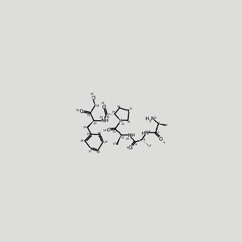 C[C@H](N)C(=O)N[C@H](C)C(=O)N[C@@H](C)C(=O)N1CCC[C@H]1C(=O)N[C@@H](Cc1ccccc1)C(=O)CCl